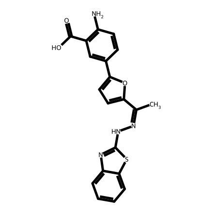 CC(=NNc1nc2ccccc2s1)c1ccc(-c2ccc(N)c(C(=O)O)c2)o1